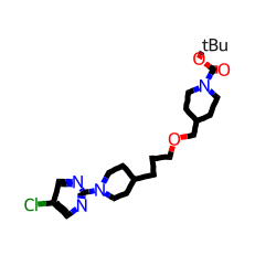 CC(C)(C)OC(=O)N1CCC(COCCCC2CCN(c3ncc(Cl)cn3)CC2)CC1